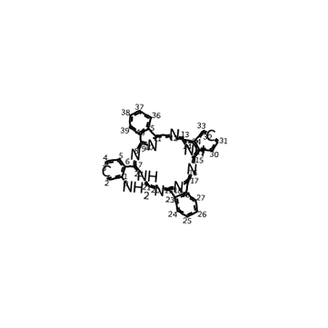 Nc1ccccc1-c1nc2nc(nc3[nH]c(nc4nc(nc[nH]1)-c1ccccc1-4)c1ccccc31)-c1ccccc1-2